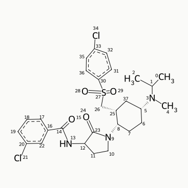 CC(C)N(C)[C@@H]1CC[C@H](N2CCC(NC(=O)c3cccc(Cl)c3)C2=O)[C@H](CS(=O)(=O)c2ccc(Cl)cc2)C1